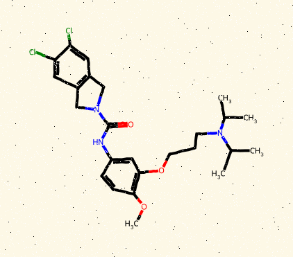 COc1ccc(NC(=O)N2Cc3cc(Cl)c(Cl)cc3C2)cc1OCCCN(C(C)C)C(C)C